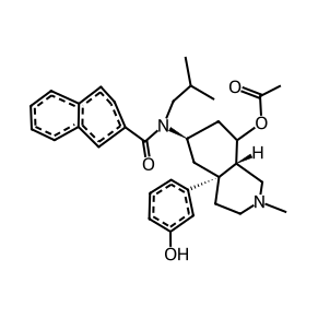 CC(=O)OC1C[C@H](N(CC(C)C)C(=O)c2ccc3ccccc3c2)C[C@]2(c3cccc(O)c3)CCN(C)C[C@@H]12